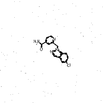 NC(=O)c1ccnc(Cn2ncc3cc(Cl)ccc32)c1